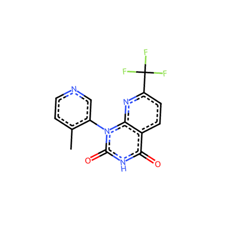 Cc1ccncc1-n1c(=O)[nH]c(=O)c2ccc(C(F)(F)F)nc21